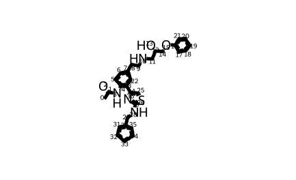 CC(=O)Nc1ccc(CCNC[C@H](O)COc2ccccc2)cc1-c1csc(NCc2ccccc2)n1